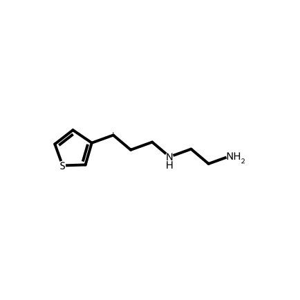 NCCNCC[CH]c1ccsc1